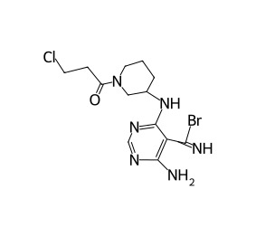 N=C(Br)c1c(N)ncnc1NC1CCCN(C(=O)CCCl)C1